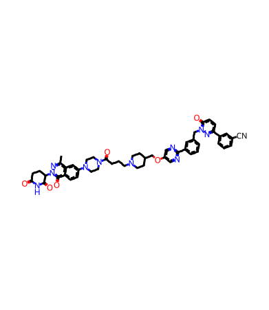 Cc1nn(C2CCC(=O)NC2=O)c(=O)c2ccc(N3CCN(C(=O)CCCN4CCC(COc5cnc(-c6cccc(Cn7nc(-c8cccc(C#N)c8)ccc7=O)c6)nc5)CC4)CC3)cc12